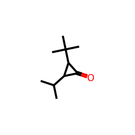 CC(C)C1C(=O)C1C(C)(C)C